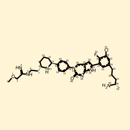 COCC(=N)NCC[C@@H]1CCC[C@@H](c2ccc(-n3cc4cc(-c5cc(CCC[C@H](C)N)cc(Cl)c5F)[nH]c4nc3=O)cc2)N1